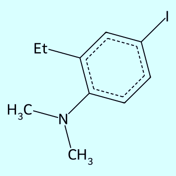 CCc1cc(I)ccc1N(C)C